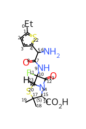 CCc1ccc(C(N)C(=O)NC2(F)C(=O)N3[C@@H](C(=O)O)C(C)(C)S[C@@H]32)s1